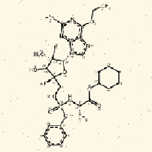 CCOc1nc(N)nc2c1ncn2[C@@H]1O[C@](F)(COP(=O)(N[C@@H](C)C(=O)OC2CCCCC2)Oc2ccccc2)[C@@H](O)[C@@]1(C)F